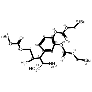 CCCCOC(=O)OCC(C)C(c1ccc(OC(=O)OCC(C)(C)C)c(OC(=O)OCC(C)(C)C)c1)[C@H](N)C(=O)O